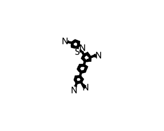 N#Cc1cc(-c2ccc(-c3ccc(C#N)c(C#N)c3)cc2)cc(-c2nc3ccc(C#N)cc3s2)c1